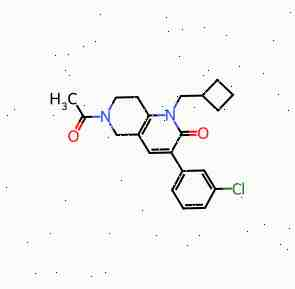 CC(=O)N1CCc2c(cc(-c3cccc(Cl)c3)c(=O)n2CC2CCC2)C1